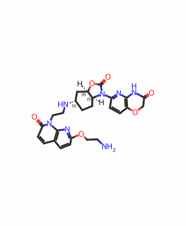 NCCOc1ccc2ccc(=O)n(CCN[C@H]3CC[C@H]4[C@@H](C3)OC(=O)N4c3ccc4c(n3)NC(=O)CO4)c2n1